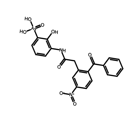 O=C(Cc1cc([N+](=O)[O-])ccc1C(=O)c1ccccc1)Nc1cccc([As](=O)(O)O)c1O